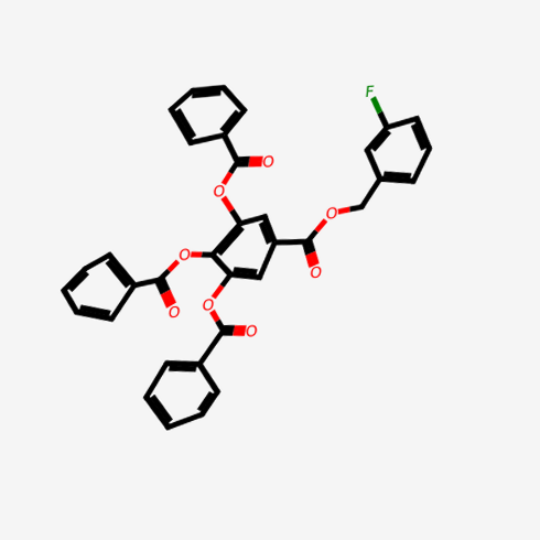 O=C(OCc1cccc(F)c1)c1cc(OC(=O)c2ccccc2)c(OC(=O)c2ccccc2)c(OC(=O)c2ccccc2)c1